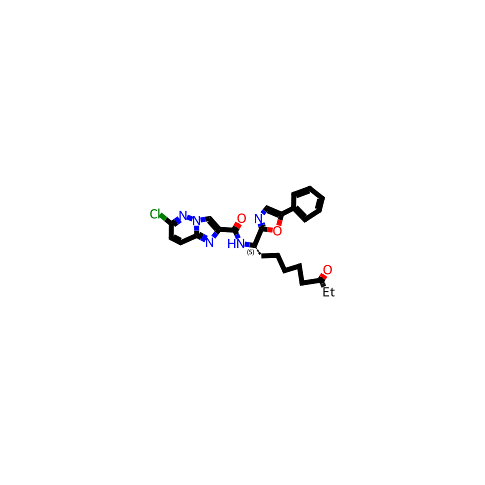 CCC(=O)CCCCC[C@H](NC(=O)c1cn2nc(Cl)ccc2n1)c1ncc(-c2ccccc2)o1